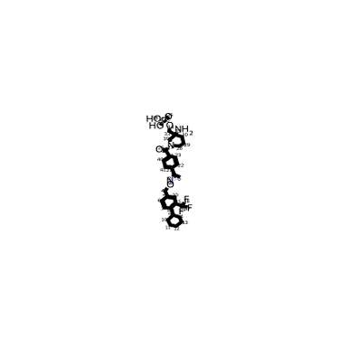 C/C(=N\OCc1ccc(C2CCCCC2)c(C(F)(F)F)c1)c1ccc(C(=O)N2CCCC(N)(COP(=O)(O)O)C2)cc1